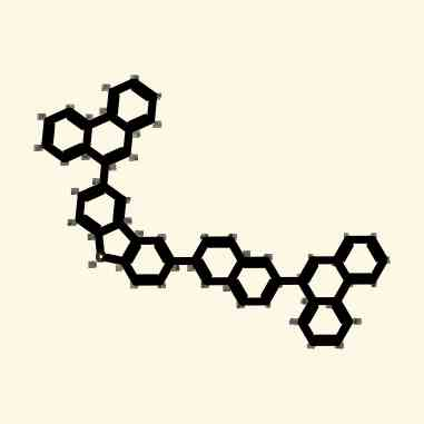 c1ccc2c(c1)cc(-c1ccc3cc(-c4ccc5oc6ccc(-c7cc8ccccc8c8ccccc78)cc6c5c4)ccc3c1)c1ccccc12